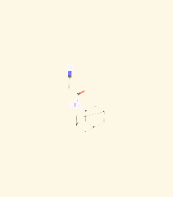 N#CCC(=O)NC12CC3CC(CC(C3)C1)C2